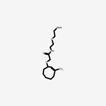 CNCCOCCNC(=O)COC1/C=C(/C)CCCCC1